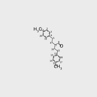 Cc1ccc(CCC(C=O)CCc2ccc(C)cc2)cc1